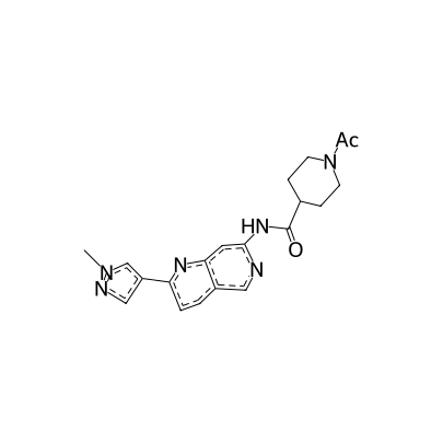 CC(=O)N1CCC(C(=O)Nc2cc3nc(-c4cnn(C)c4)ccc3cn2)CC1